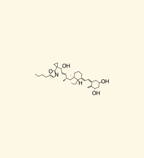 C=C1/C(=C\C=C2/CCC[C@]3(C)[C@@H]([C@@H](C)/C=C/[C@@H](O)C4(c5ncc(CCCC)o5)CC4)CC[C@@H]23)C[C@@H](O)C[C@@H]1O